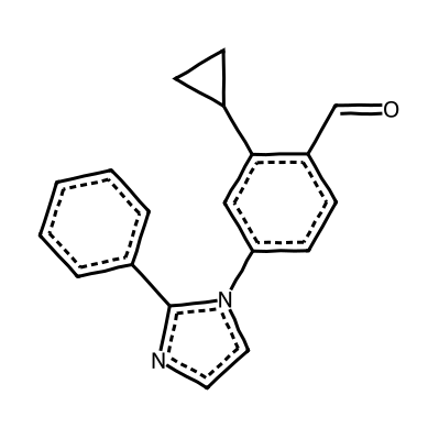 O=Cc1ccc(-n2ccnc2-c2ccccc2)cc1C1CC1